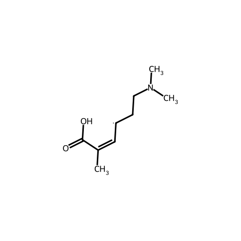 CC(=C[CH]CCN(C)C)C(=O)O